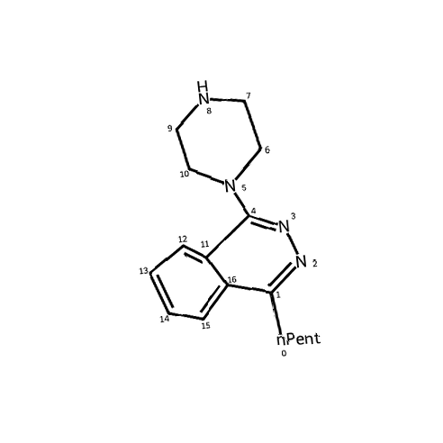 CCCCCc1nnc(N2CCNCC2)c2ccccc12